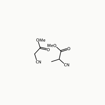 COC(=O)C(C)C#N.COC(=O)CC#N